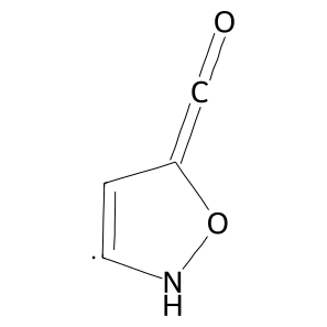 O=C=C1C=[C]NO1